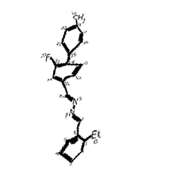 CCc1ccccc1C=NN=Cc1ccc(-c2ccc(C)cc2)c(F)c1